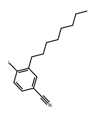 CCCCCCCCc1cc(C#N)ccc1I